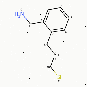 NCc1ccccc1[CH2][Sn][CH2]S